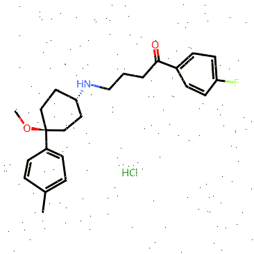 CO[C@]1(c2ccc(C)cc2)CC[C@@H](NCCCC(=O)c2ccc(F)cc2)CC1.Cl